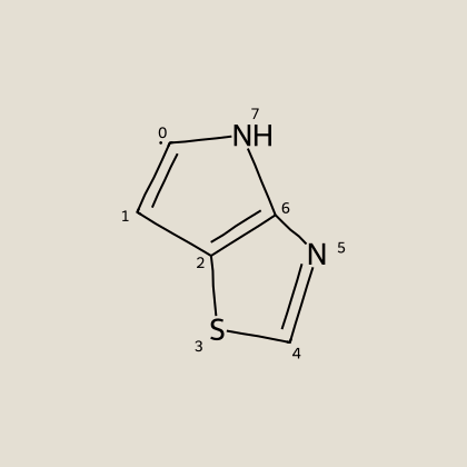 [c]1cc2scnc2[nH]1